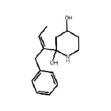 CC=C(Cc1ccccc1)C1(O)CC(O)CCN1